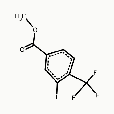 COC(=O)c1ccc(C(F)(F)F)c(I)c1